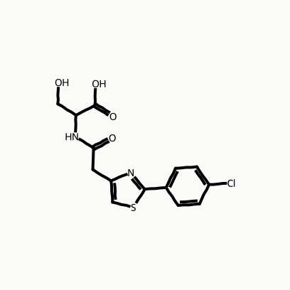 O=C(Cc1csc(-c2ccc(Cl)cc2)n1)NC(CO)C(=O)O